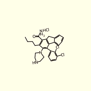 CCCCc1c(C(N)=O)c2c(c(-c3cccc(Cl)c3Cl)c1N1CCNCC1)-c1ccccc1C2.Cl